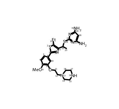 CCc1sc(-c2ccc(OC)c(OCCN3CCNCC3)c2)nc1C(C)Sc1nc(N)cc(N)n1